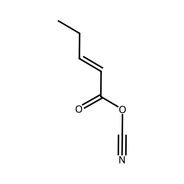 CCC=CC(=O)OC#N